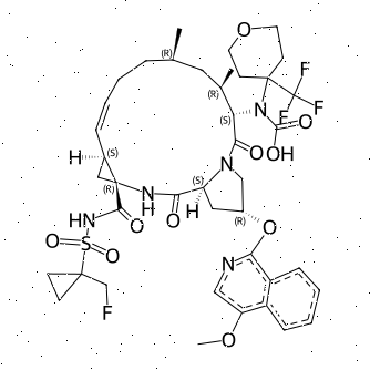 COc1cnc(O[C@@H]2C[C@H]3C(=O)N[C@]4(C(=O)NS(=O)(=O)C5(CF)CC5)C[C@H]4C=CCC[C@@H](C)C[C@@H](C)[C@H](N(C(=O)O)C4(C(F)(F)F)CCOCC4)C(=O)N3C2)c2ccccc12